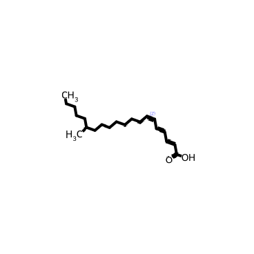 CCCCCC(C)CCCCCCC/C=C\C=CC=CC(=O)O